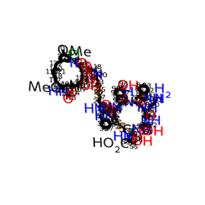 COc1cc2cc(c1Cl)N(C)C(=O)C[C@H](OC(=O)[C@H](C)N(C)C(=O)CCSSCCC(=O)N[C@H](Cc1ccccc1)C(=O)NC1CSSC[C@@H](C(=O)N[C@H](C(=O)O)[C@@H](C)O)NC(=O)[C@H]([C@@H](C)O)NC(=O)[C@H](CCCCN)NC(=O)[C@@H](Cc3c[nH]c4ccccc34)NC(=O)[C@H](Cc3ccc(O)cc3)NC1=O)[C@@H](C)[C@@H](O)[C@H](C)[C@@H]1CC(NC(=O)O1)[C@H](OC)/C=C/C=C(\C)C2